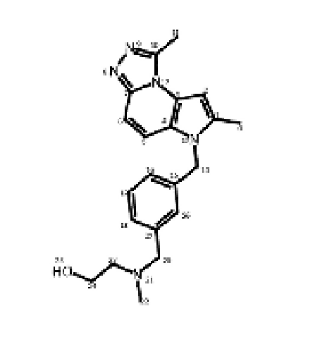 Cc1cc2c(ccc3nnc(C)n32)n1Cc1cccc(CN(C)CCO)c1